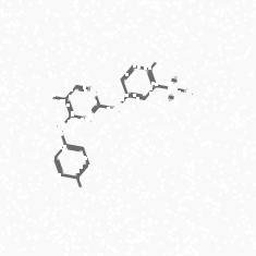 NS(=O)(=O)c1cc(Nc2ncc(F)c(Nc3ccc(C(F)(F)F)cc3)n2)ccc1Cl